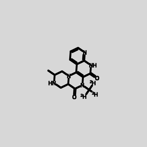 [2H]C([2H])([2H])N1C(=O)C2CNC(C)CN2c2c1c(=O)[nH]c1ncccc21